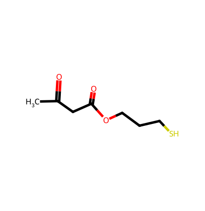 CC(=O)CC(=O)OCCCS